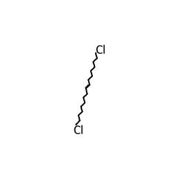 ClCCCCCCCC=CCCCCCCCCCl